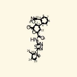 COc1c(-c2ccccc2C#N)cc(C(=O)Nc2nnc(-n3nccc3C)s2)oc1=O